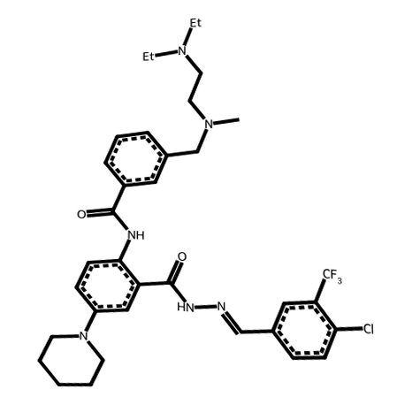 CCN(CC)CCN(C)Cc1cccc(C(=O)Nc2ccc(N3CCCCC3)cc2C(=O)N/N=C/c2ccc(Cl)c(C(F)(F)F)c2)c1